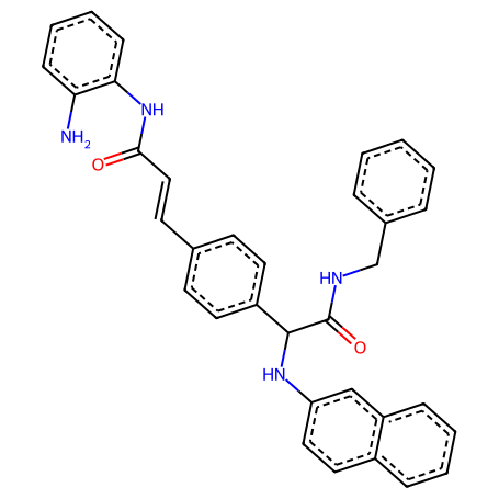 Nc1ccccc1NC(=O)C=Cc1ccc(C(Nc2ccc3ccccc3c2)C(=O)NCc2ccccc2)cc1